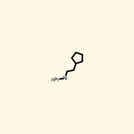 CCC[N]CCC1CCCC1